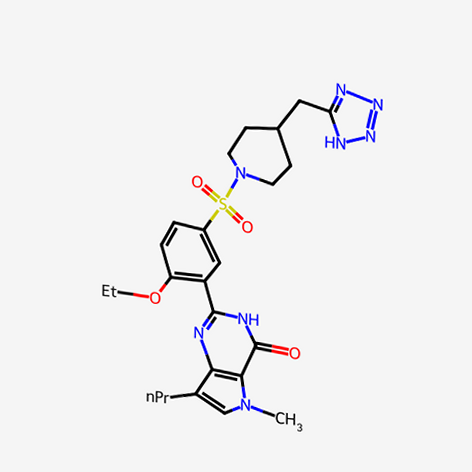 CCCc1cn(C)c2c(=O)[nH]c(-c3cc(S(=O)(=O)N4CCC(Cc5nnn[nH]5)CC4)ccc3OCC)nc12